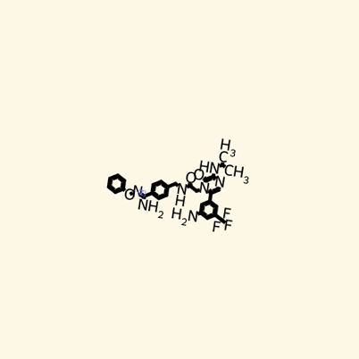 CC(C)Nc1ncc(-c2cc(N)cc(C(F)(F)F)c2)n(CC(=O)NCc2ccc(/C(N)=N/Oc3ccccc3)cc2)c1=O